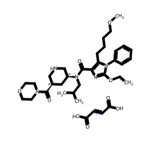 CCOc1nc(C(=O)N(CC(C)C)[C@@H]2CNC[C@H](C(=O)N3CCOCC3)C2)c(CCCCOC)n1-c1ccccc1.O=C(O)/C=C/C(=O)O